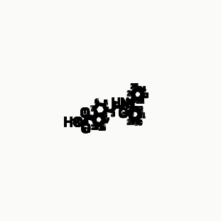 O=C(CCC1CCCc2c(C(=O)C(=O)O)cccc21)NN(c1ccccc1)c1ccccc1